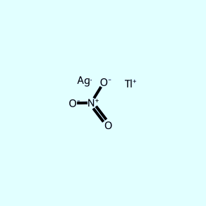 O=[N+]([O-])[O-].[Ag].[Tl+]